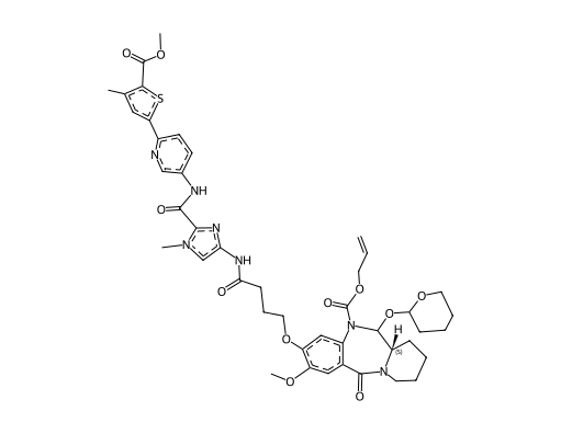 C=CCOC(=O)N1c2cc(OCCCC(=O)Nc3cn(C)c(C(=O)Nc4ccc(-c5cc(C)c(C(=O)OC)s5)nc4)n3)c(OC)cc2C(=O)N2CCCC[C@H]2C1OC1CCCCO1